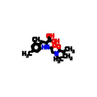 C=C(C)C(=O)N(CC)CC(=O)NC(Cc1ccc(C)cc1C)B(O)O